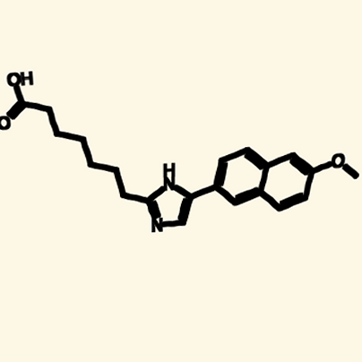 COc1ccc2cc(-c3cnc(CCCCCCC(=O)O)[nH]3)ccc2c1